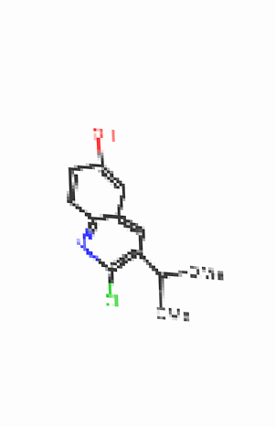 COC(OC)c1cc2cc(O)ccc2nc1Cl